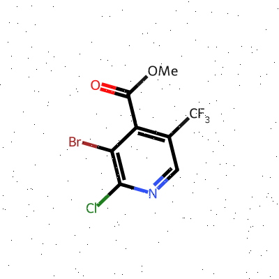 COC(=O)c1c(C(F)(F)F)cnc(Cl)c1Br